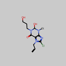 C=CCn1c(Cl)nc2c1C(=O)N(CCCO)C(O)N2CC